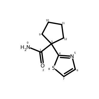 NC(=O)C1(c2nccs2)CCCC1